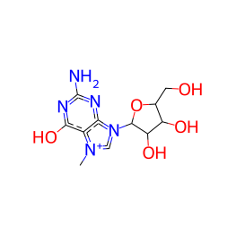 C[n+]1cn(C2OC(CO)C(O)C2O)c2nc(N)nc(O)c21